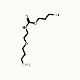 O=CCCCOCCNC(=O)OCCCO